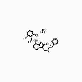 CN(CCc1ccccn1)Cc1c(C(F)(F)F)nc2c(NC(=O)c3c(Cl)cccc3Cl)cccn12.Cl.Cl